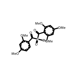 CCC(C)P(=O)(C(=O)c1ccc(OC)cc1OC)C(=O)c1c(OC)cc(OC)cc1OC